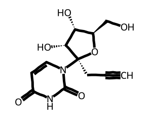 C#CC[C@@]1(n2ccc(=O)[nH]c2=O)O[C@H](CO)[C@@H](O)[C@H]1O